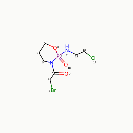 O=C(CBr)N1CCCOP1(=O)NCCCl